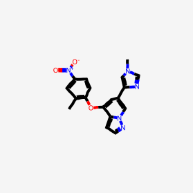 Cc1cc([N+](=O)[O-])ccc1Oc1cc(-c2cn(C)cn2)cn2nccc12